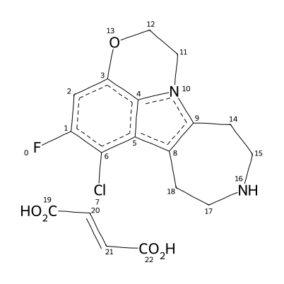 Fc1cc2c3c(c1Cl)c1c(n3CCO2)CCNCC1.O=C(O)C=CC(=O)O